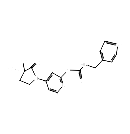 N#C[C@@]1(O)CCN(c2ccnc(NC(=O)NCc3ccncc3)c2)C1=O